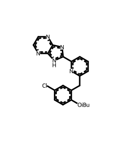 CC(C)COc1ccc(Cl)cc1Cc1cccc(-c2nc3nccnc3[nH]2)n1